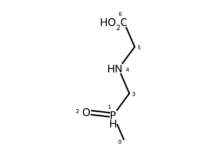 C[PH](=O)CNCC(=O)O